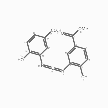 COC(=O)c1ccc(O)c(N=C=Nc2cc(C(=O)O)ccc2O)c1